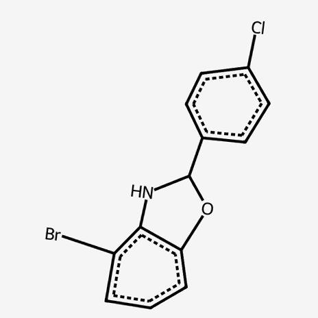 Clc1ccc(C2Nc3c(Br)cccc3O2)cc1